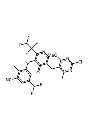 COc1nc(Cl)nc(C)c1Cn1cnc(C(F)(F)C(F)F)c(Oc2cc(C(F)F)cc(C#N)c2C)c1=O